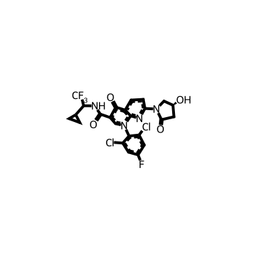 O=C(NC(C1CC1)C(F)(F)F)c1cn(-c2c(Cl)cc(F)cc2Cl)c2nc(N3C[C@@H](O)CC3=O)ccc2c1=O